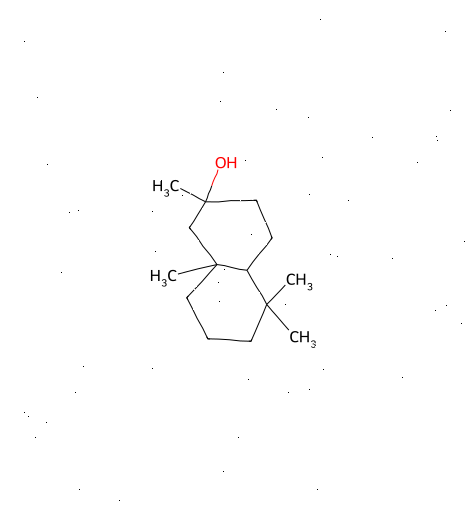 CC1(O)CCC2C(C)(C)CCCC2(C)C1